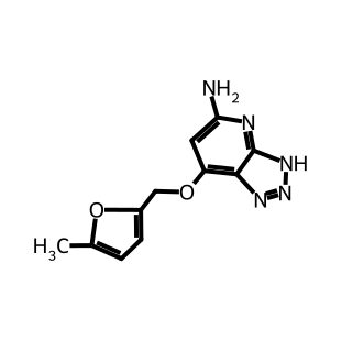 Cc1ccc(COc2cc(N)nc3[nH]nnc23)o1